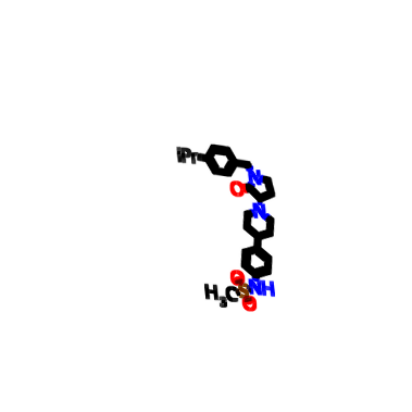 CC(C)c1ccc(CN2CC[C@@H](N3CCC(c4ccc(NS(C)(=O)=O)cc4)CC3)C2=O)cc1